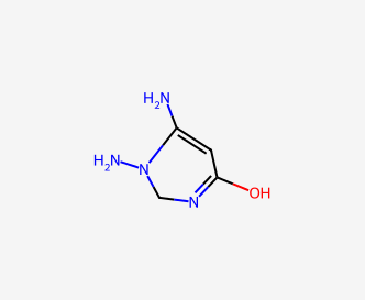 NC1=CC(O)=NCN1N